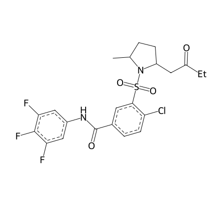 CCC(=O)CC1CCC(C)N1S(=O)(=O)c1cc(C(=O)Nc2cc(F)c(F)c(F)c2)ccc1Cl